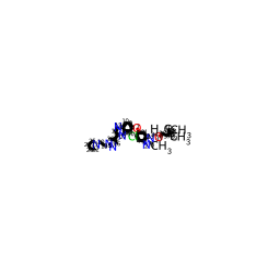 Cc1nc2ccc(Oc3ccc4ncc(-c5cnn(CCN6CCCC6)c5)nc4c3Cl)cc2n1COCC[Si](C)(C)C